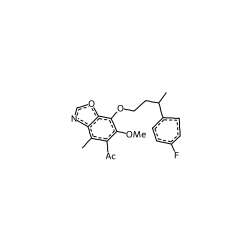 COc1c(C(C)=O)c(C)c2ncoc2c1OCCC(C)c1ccc(F)cc1